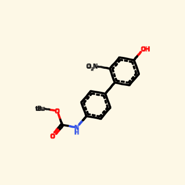 CC(C)(C)OC(=O)Nc1ccc(-c2ccc(O)cc2[N+](=O)[O-])cc1